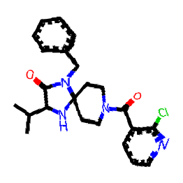 CC(C)C1NC2(CCN(C(=O)c3cccnc3Cl)CC2)N(Cc2ccccc2)C1=O